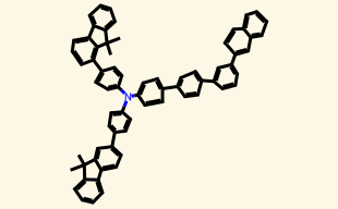 CC1(C)c2ccccc2-c2ccc(-c3ccc(N(c4ccc(-c5ccc(-c6cccc(-c7ccc8ccccc8c7)c6)cc5)cc4)c4ccc(-c5cccc6c5C(C)(C)c5ccccc5-6)cc4)cc3)cc21